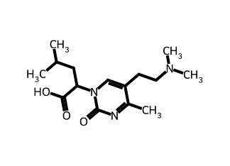 Cc1nc(=O)n(C(CC(C)C)C(=O)O)cc1CCN(C)C